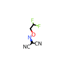 N#CC(C#N)=NOCC(F)F